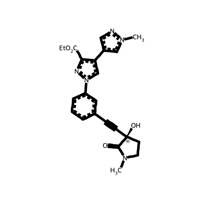 CCOC(=O)c1nn(-c2cccc(C#C[C@]3(O)CCN(C)C3=O)c2)cc1-c1cnn(C)c1